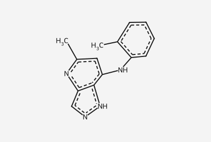 Cc1cc(Nc2ccccc2C)c2[nH]ncc2n1